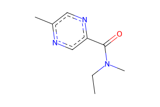 CCN(C)C(=O)c1cnc(C)cn1